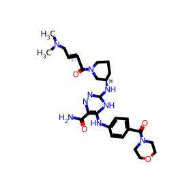 CN(C)C/C=C/C(=O)N1CCC[C@@H](NC2N=NC(C(N)=O)=C(Nc3ccc(C(=O)N4CCOCC4)cc3)N2)C1